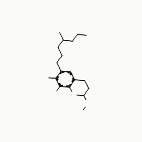 CCCC(C)CCCc1cc2c(c(F)c1F)OC(OC)CC2